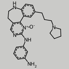 Nc1cccc(Nc2ncc3c([n+]2[O-])-c2cc(CCCN4CCCC4)ccc2NCC3)c1